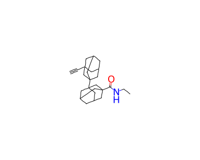 C#CC12CC3CC(C1)CC(C14CC5CC(CC(C(=O)NCC)(C5)C1)C4)(C3)C2